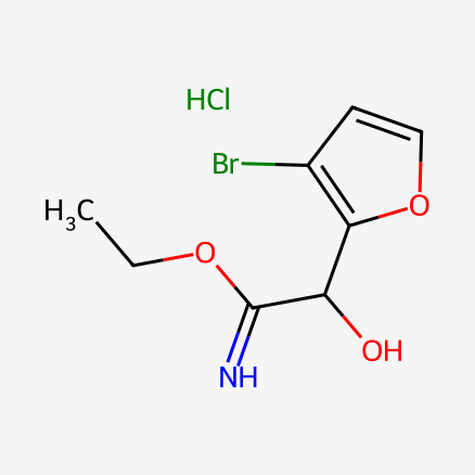 CCOC(=N)C(O)c1occc1Br.Cl